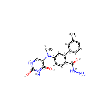 Cc1cccc(-c2cc(N(C=O)c3c[nH]c(=O)[nH]c3=O)ccc2C(=O)NN)c1